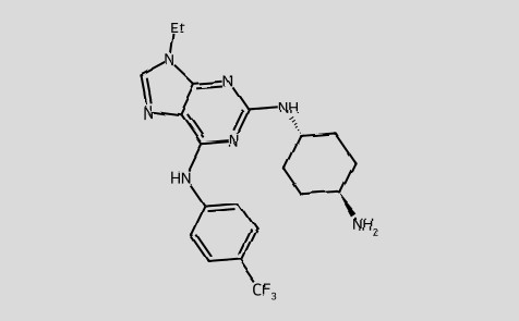 CCn1cnc2c(Nc3ccc(C(F)(F)F)cc3)nc(N[C@H]3CC[C@H](N)CC3)nc21